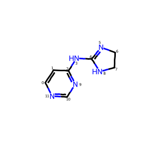 c1cc(NC2=NCCN2)ncn1